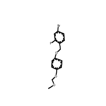 COCOc1ccc(OCc2ccc(Br)cc2F)cc1